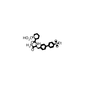 CCS(=O)(=O)c1ccc(-c2ccc(C[C@H](NC(=O)C3CCCCN3C(=O)O)C(N)=O)cc2)cc1